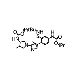 CC(C)OC(=O)Nc1ccc(-c2cnc(N3CC(C)C(NC(=O)OC(C)C)C3)s2)c(SNC(C)(C)C)c1